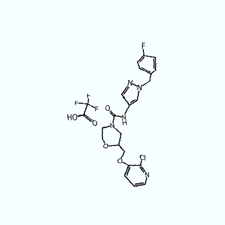 O=C(Nc1cnn(Cc2ccc(F)cc2)c1)N1CCOC(COc2cccnc2Cl)C1.O=C(O)C(F)(F)F